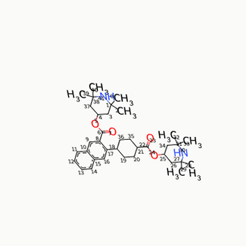 CC1(C)CC(OC(=O)c2cc3ccccc3cc2C2CCC(C(=O)OC3CC(C)(C)NC(C)(C)C3)CC2)CC(C)(C)N1